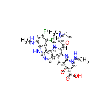 CNc1cc(F)c(F)c2c1[nH]c1ncc(-c3cnc4c(c3)c(=O)c(C(=O)O)cn4NC)c(N3C[C@@H]4OCCN(C)[C@@H]4C3)c12